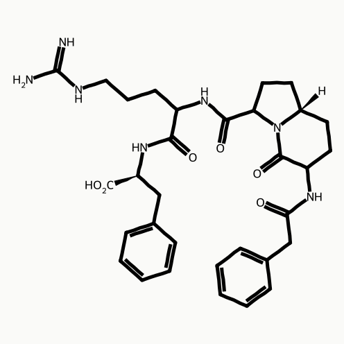 N=C(N)NCCCC(NC(=O)C1CC[C@@H]2CCC(NC(=O)Cc3ccccc3)C(=O)N12)C(=O)N[C@@H](Cc1ccccc1)C(=O)O